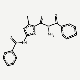 Cc1nc(NC(=O)c2ccccc2)sc1C(=O)N(N)C(=O)c1ccccc1